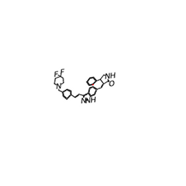 O=C1NCC(c2ccccc2)/C1=C\c1ccc2c(/C=C/c3ccc(CN4CCC(F)(F)CC4)cc3)n[nH]c2c1